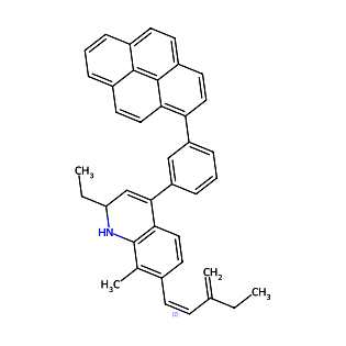 C=C(/C=C\c1ccc2c(c1C)NC(CC)C=C2c1cccc(-c2ccc3ccc4cccc5ccc2c3c45)c1)CC